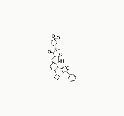 O=C(N[C@@H]1C=CS(=O)(=O)C1)c1cc2ccc(C3CCC3)c(-c3coc(-c4ccccc4)n3)c2[nH]c1=O